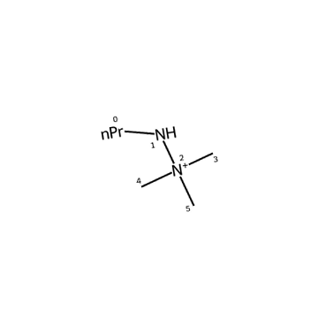 CCCN[N+](C)(C)C